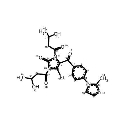 CCc1c(C(=O)c2ccc(-n3ccnc3C)cc2)n(C(=O)CC(C)O)c(=O)n1C(=O)CC(C)O